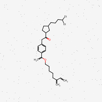 C=CC(=C)CCCCCOC(=C)c1ccc(CC(=O)C2CCC(CCCC(CC)CC)C2)cc1